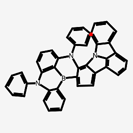 c1ccc(N2c3ccccc3B3c4ccc5c6cccc7c8ccccc8n(c5c4N(c4ccccc4)c4cccc2c43)c76)cc1